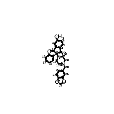 Cc1ccc2c(c1)C(=O)[C@@](c1ccccc1)(N1CCN(Cc3ccc4c(c3)OCO4)CC1)C2=O